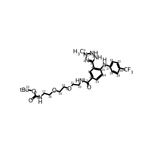 CN1N=C(c2cc(C(=O)NCCOCCOCCNC(=O)OC(C)(C)C)ccc2Nc2ccc(C(F)(F)F)cc2)NN1